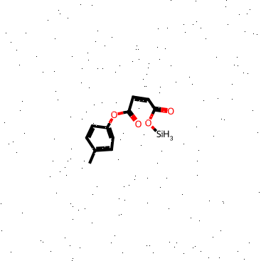 Cc1ccc(OC(=O)/C=C\C(=O)O[SiH3])cc1